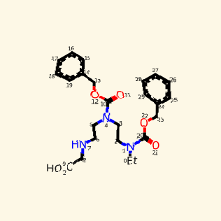 CCN(CCN(CCNCC(=O)O)C(=O)OCc1ccccc1)C(=O)OCc1ccccc1